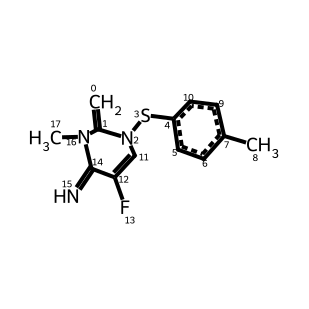 C=C1N(Sc2ccc(C)cc2)C=C(F)C(=N)N1C